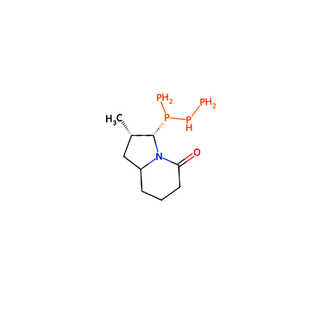 C[C@H]1CC2CCCC(=O)N2[C@H]1P(P)PP